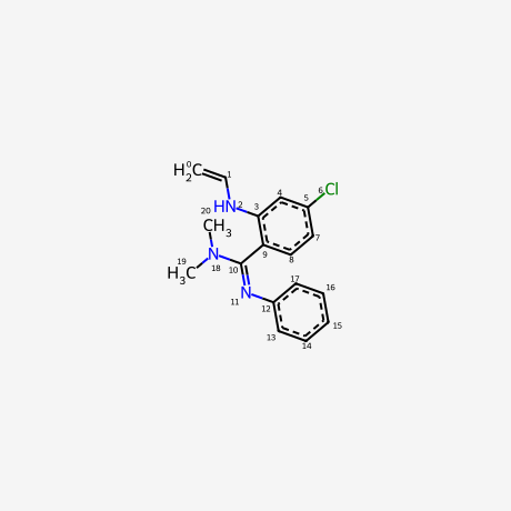 C=CNc1cc(Cl)ccc1/C(=N\c1ccccc1)N(C)C